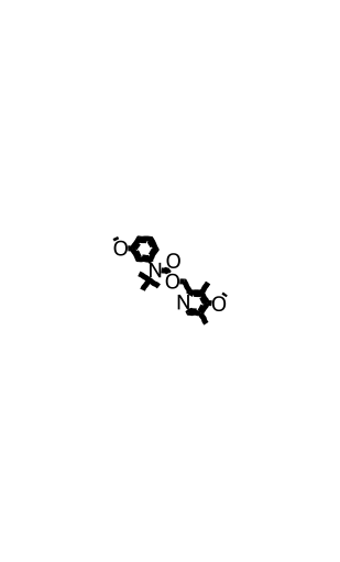 COc1cccc(N(C(=O)OCc2ncc(C)c(OC)c2C)C(C)(C)C)c1